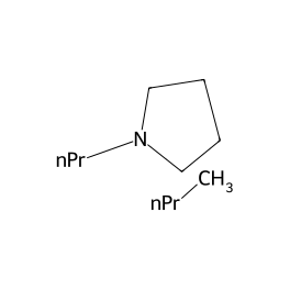 CCCC.CCCN1CCCC1